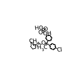 CN1CCC[C@@H]1CCO[C@](C)(c1ccccc1)c1ccc(Cl)cc1.O=S(=O)(O)O